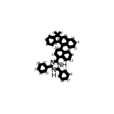 CC1(C)c2ccccc2-c2c1cc1ccccc1c2-c1ccc(C2N=C(c3ccccc3)NC(c3ccccc3)N2)c2ccccc12